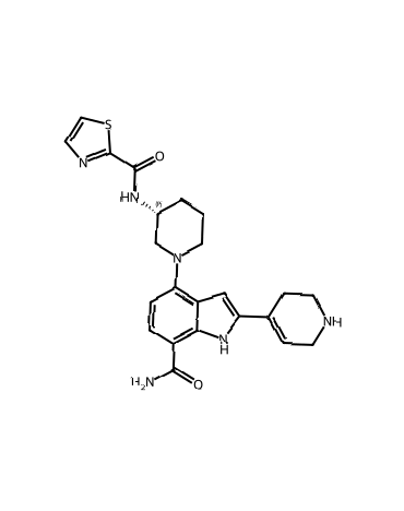 NC(=O)c1ccc(N2CCC[C@@H](NC(=O)c3nccs3)C2)c2cc(C3=CCNCC3)[nH]c12